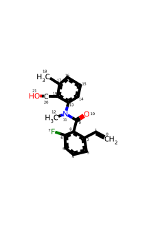 C=Cc1cccc(F)c1C(=O)N(C)c1cccc(C)c1CO